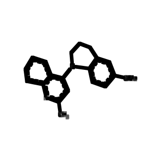 COc1ccc2c(c1)CCCN2c1cc(C)nc2ccccc12